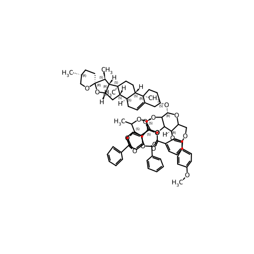 COc1ccc(C2OCC3O[C@@H](O[C@H]4CC[C@@]5(C)C(=CC[C@H]6[C@@H]7C[C@@H]8O[C@]9(CC[C@@H](C)CO9)[C@@H](C)[C@@H]8[C@@]7(C)CC[C@@H]65)C4)C(O[C@@H]4OC(C)[C@H](OC(=O)c5ccccc5)C(OC(=O)c5ccccc5)[C@@H]4OC(=O)c4ccccc4)C(OC(=O)c4ccccc4)[C@@H]3O2)cc1